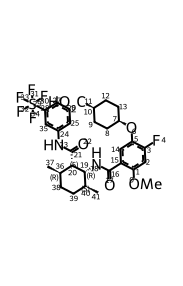 COc1cc(F)c(O[C@H]2CC[C@@H](C(=O)O)CC2)cc1C(=O)N[C@H]1[C@@H](C(=O)Nc2cccc(S(F)(F)(F)(F)F)c2)[C@H](C)CC[C@@H]1C